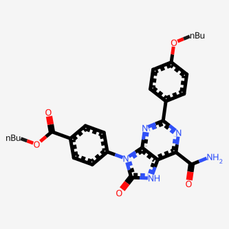 CCCCOC(=O)c1ccc(-n2c(=O)[nH]c3c(C(N)=O)nc(-c4ccc(OCCCC)cc4)nc32)cc1